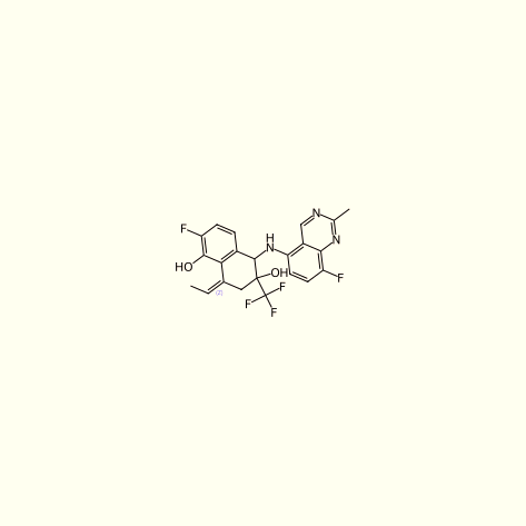 C/C=C1/CC(O)(C(F)(F)F)C(Nc2ccc(F)c3nc(C)ncc23)c2ccc(F)c(O)c21